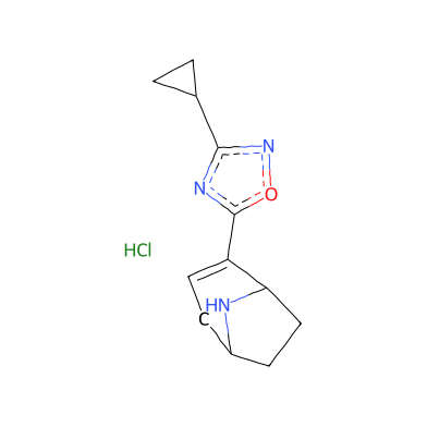 C1=C(c2nc(C3CC3)no2)C2CCC(C1)N2.Cl